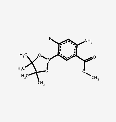 COC(=O)c1cc(B2OC(C)(C)C(C)(C)O2)c(F)cc1N